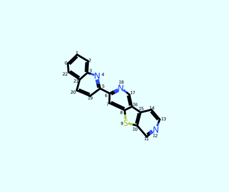 c1ccc2nc(-c3cc4sc5cnccc5c4cn3)ccc2c1